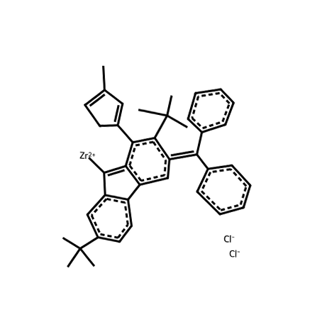 CC1=CCC(c2c(C(C)(C)C)c(=C(c3ccccc3)c3ccccc3)cc3c2=[C]([Zr+2])c2cc(C(C)(C)C)ccc2-3)=C1.[Cl-].[Cl-]